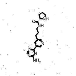 Nc1ncnc(-c2cncc(CCCNC(=O)[C@@H]3CCCN3)c2)n1